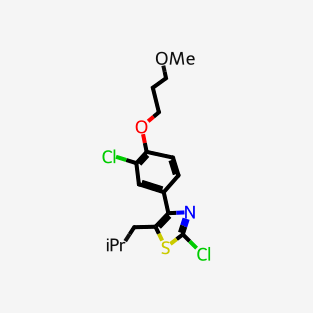 COCCCOc1ccc(-c2nc(Cl)sc2CC(C)C)cc1Cl